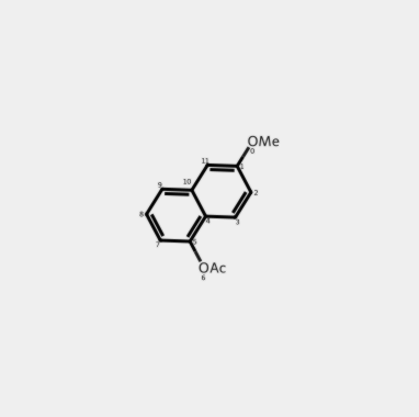 COc1ccc2c(OC(C)=O)cccc2c1